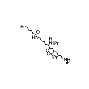 CC(C)CCCCC(=O)NCCCCC(NC(C)C)C(=O)CC(CCCCNC(C)C)C(=O)C(C)C